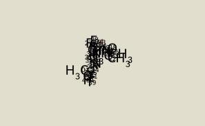 Cc1cc(-n2ncc3c(NC(=O)c4cc(CNC(=O)C(C)(C)C)ccc4C(F)(F)F)cccc32)ccc1OC(F)(F)F